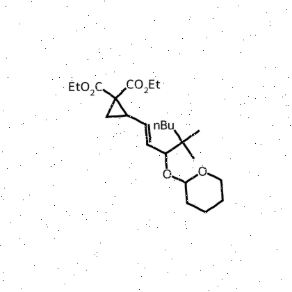 CCCCC(C)(C)C(C=CC1CC1(C(=O)OCC)C(=O)OCC)OC1CCCCO1